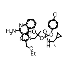 CCOCc1nc2c(N)nc3ccccc3c2n1CC(C)(O)OP(=O)(N[C@@H](C)C1CC1)Oc1ccc(Cl)cc1